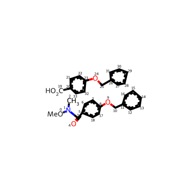 CON(C)C(=O)c1ccc(OCc2ccccc2)cc1.O=C(O)c1ccc(OCc2ccccc2)cc1